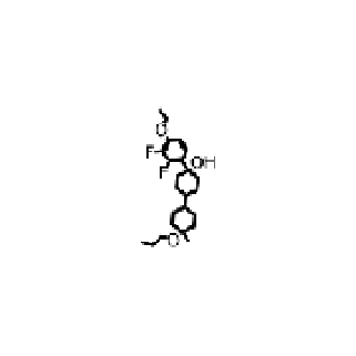 CCCOC1(C)CCC(C2CCC(O)(c3ccc(OCC)c(F)c3F)CC2)CC1